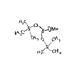 COB(O[Si](C)(C)C)O[Si](C)(C)C